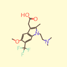 COc1cc2c(CC(=O)O)c(C)n(CCN(C)C)c2cc1C(F)(F)F